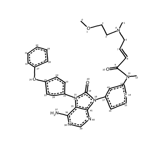 COCCN(C)CC=CC(=O)N(C)c1cccc(-n2c(=O)n(-c3ccc(Oc4ccccc4)cc3)c3c(N)ncnc32)c1